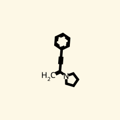 C=C(C#Cc1ccccc1)N1CCCC1